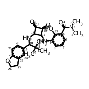 CN(C)C(=O)c1cccc(NC2C(=O)C(=O)C2NC(c2ccc3c(c2)CCO3)C(C)(C)C)c1O